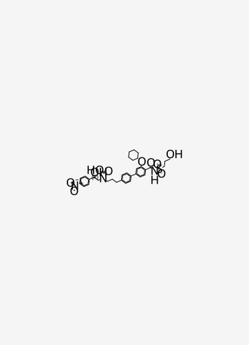 O=C(NS(=O)(=O)CCCO)c1ccc(-c2ccc(CCCN(C[C@H](O)c3ccc([N+](=O)[O-])cc3)C(=O)O)cc2)cc1OC1CCCCC1